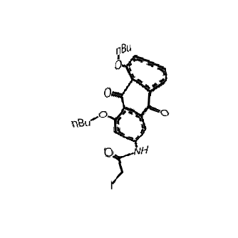 CCCCOc1cccc2c1C(=O)c1c(OCCCC)cc(NC(=O)CI)cc1C2=O